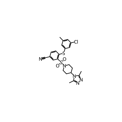 Cc1cc(Cl)cc(Sc2ccc(C#N)cc2S(=O)(=O)N2CCC(n3c(C)nnc3C)CC2)c1